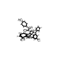 O=C(N[C@H]1CC[C@H](O)CC1)[C@@H]1N[C@@H](CC2CCCC2)[C@@]2(C(=O)Nc3cc(Cl)ccc32)[C@H]1c1cccc(Cl)c1F